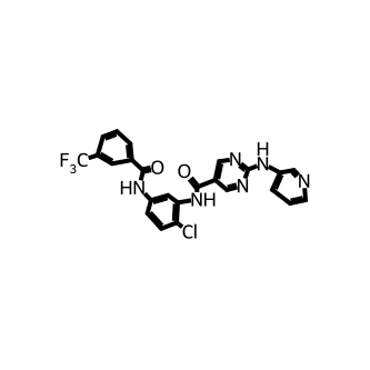 O=C(Nc1ccc(Cl)c(NC(=O)c2cnc(Nc3cccnc3)nc2)c1)c1cccc(C(F)(F)F)c1